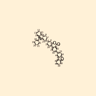 O=c1oc2cc(-c3ccc4c5ccccc5n(-c5ccccc5)c4c3)ccc2c2ccc(-c3ccc4oc5ccccc5c4c3)cc12